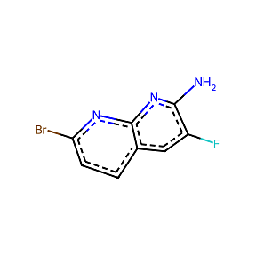 Nc1nc2nc(Br)ccc2cc1F